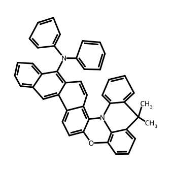 CC1(C)c2ccccc2N2c3c(cccc31)Oc1ccc3c(ccc4c(N(c5ccccc5)c5ccccc5)c5ccccc5cc43)c12